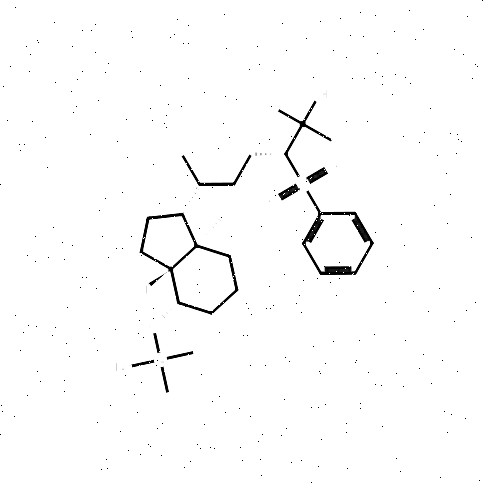 CC(CC[C@H](C(C)(O)C(F)(F)F)S(=O)(=O)c1ccccc1)[C@H]1CC[C@H]2[C@@H](O[Si](C)(C)C(C)(C)C)CCC[C@]12C